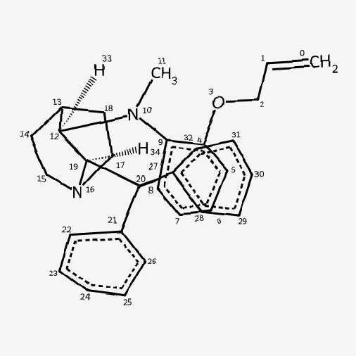 C=CCOc1ccccc1N(C)[C@@H]1C2CCN(CC2)[C@@H]1C(c1ccccc1)c1ccccc1